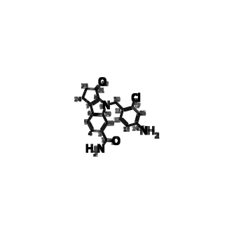 NC(=O)c1ccc2c3c(n(Cc4ccc(N)cc4Cl)c2c1)C(=O)CC3